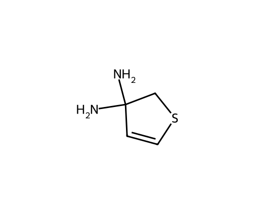 NC1(N)C=CSC1